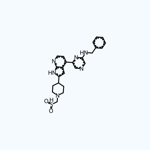 O=[SH](=O)CN1CCC(c2cc3c(-c4cncc(NCc5ccccc5)n4)ccnc3[nH]2)CC1